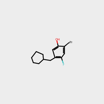 CC(C)c1cc(F)c(CC2CCCCC2)cc1O